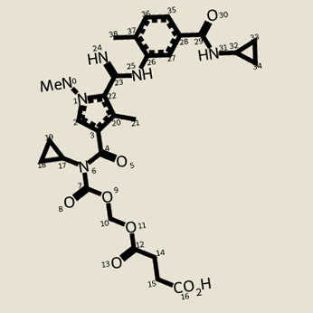 CNn1cc(C(=O)N(C(=O)OCOC(=O)CCC(=O)O)C2CC2)c(C)c1C(=N)Nc1cc(C(=O)NC2CC2)ccc1C